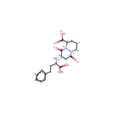 O=C(O)C(CCc1ccccc1)N[C@H]1CC(=O)N2CCCC(C(=O)O)N2C1=O